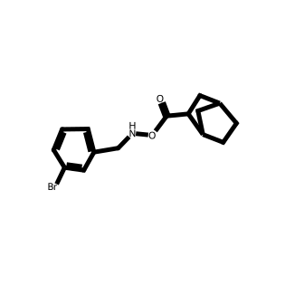 O=C(ONCc1cccc(Br)c1)C1CC2CCC1C2